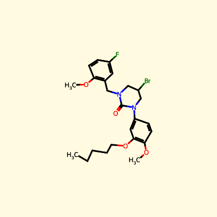 CCCCCOc1cc(N2CC(Br)CN(Cc3cc(F)ccc3OC)C2=O)ccc1OC